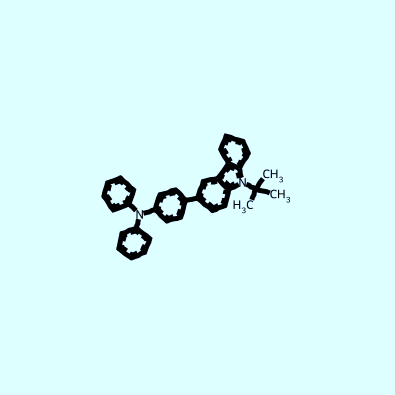 CC(C)(C)n1c2ccccc2c2cc(-c3ccc(N(c4ccccc4)c4ccccc4)cc3)ccc21